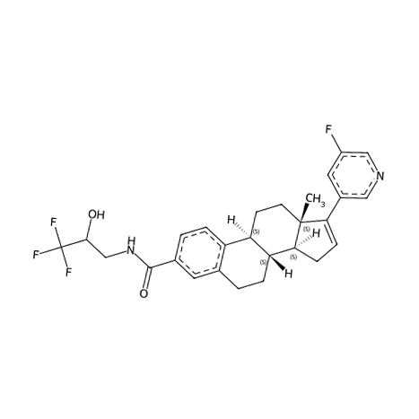 C[C@]12CC[C@@H]3c4ccc(C(=O)NCC(O)C(F)(F)F)cc4CC[C@H]3[C@@H]1CC=C2c1cncc(F)c1